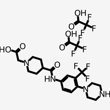 O=C(O)C(F)(F)F.O=C(O)C(F)(F)F.O=C(O)CN1CCC(C(=O)Nc2ccc(N3CCNCC3)c(C(F)(F)F)c2)CC1